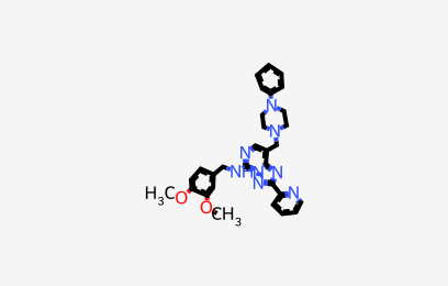 COc1ccc(CNc2ncc(CN3CCN(c4ccccc4)CC3)c3nc(-c4ccccn4)nn23)cc1OC